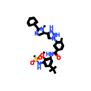 COc1c(NC(=O)c2ccc(C)c(N3C=C(C4CN=C(c5ccccc5)N4C)NN3)c2)cc(C(C)(C)C)cc1NS(C)(=O)=O